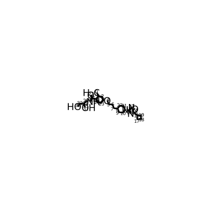 Cc1cc(OCCCC2CCN(c3noc(C4CCC4)n3)CC2)ccc1C(=O)NCC(O)CO